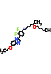 C=CCOc1ccc2nc(-c3ccc(/C=C/CCCC(C)OCCCCC)c(F)c3F)cnc2c1